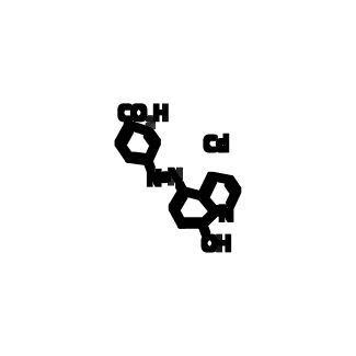 O=C(O)c1ccc(N=Nc2ccc(O)c3ncccc23)cc1.[Cd]